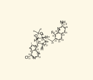 CC1(C)O[C@H]2[C@H](n3ccc4c(Cl)ncnc43)[C@H]3C[C@]3(CCc3ccc4ccc(N)nc4c3F)[C@H]2O1